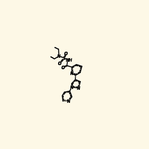 CCN(CC)S(=O)(=O)NC(=O)c1cccc(-c2cnn(-c3cccnc3)c2)n1